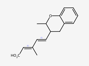 CC(/C=C/C1Cc2ccccc2OC1C)=C\C(=O)O